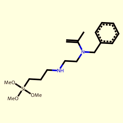 C=C(C)N(CCNCCC[Si](OC)(OC)OC)Cc1ccccc1